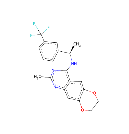 Cc1nc(N[C@H](C)c2cccc(C(F)(F)F)c2)c2cc3c(cc2n1)OCCO3